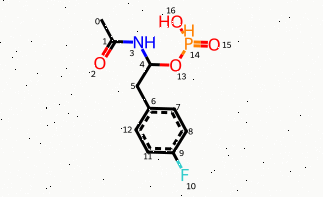 CC(=O)NC(Cc1ccc(F)cc1)O[PH](=O)O